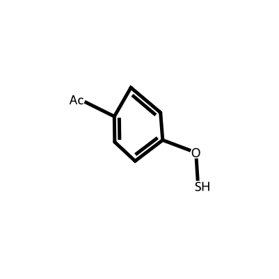 CC(=O)c1ccc(OS)cc1